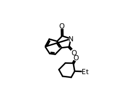 CCC1CCCCC1=O.O=C1c2cc3ccc2c(=O)n31